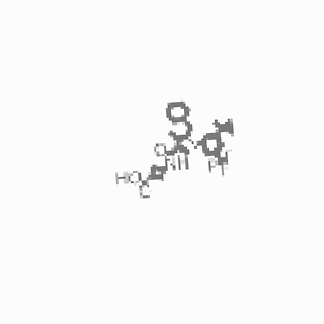 Cc1c(C(=O)N[C@H]2C[C@H](C(=O)O)C2)cn(-c2cc(C(F)(F)F)cc(C3(C)CC3)c2)c1CC1CCCCC1